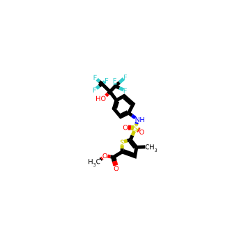 COC(=O)c1cc(C)c(S(=O)(=O)Nc2ccc(C(O)(C(F)(F)F)C(F)(F)F)cc2)s1